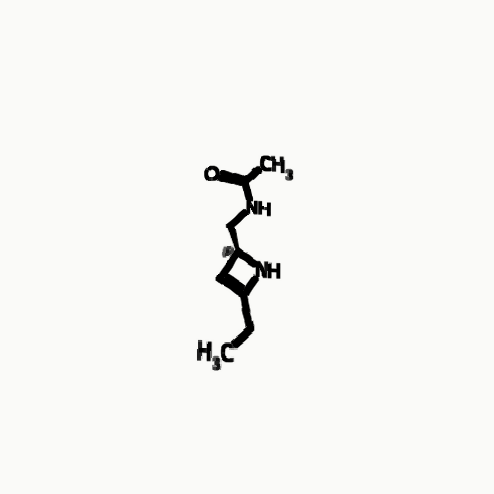 CCC1=C[C@@H](CNC(C)=O)N1